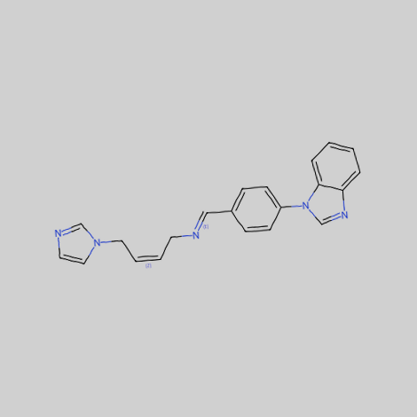 C(=C/Cn1ccnc1)/C/N=C/c1ccc(-n2cnc3ccccc32)cc1